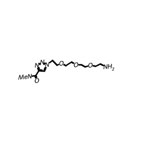 CNC(=O)c1cn(CCOCCOCCOCCN)nn1